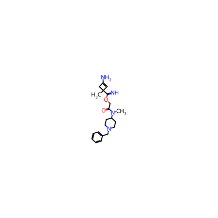 CN(C(=O)COC(=N)C1(C)C=C(N)C1)C1CCN(Cc2ccccc2)CC1